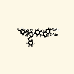 COc1ccc2c(Oc3ccc(N4CC(Cc5ccccc5)N(S(=O)(=O)c5ccc(C)cc5)C4=O)cc3F)ccnc2c1OC